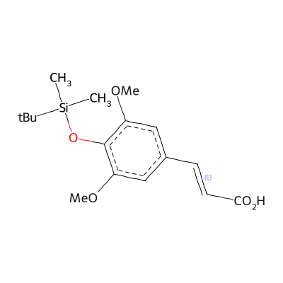 COc1cc(/C=C/C(=O)O)cc(OC)c1O[Si](C)(C)C(C)(C)C